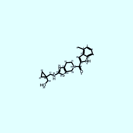 Cc1cccc2[nH]c(C(=O)N3CCc4nc(NCC5(CO)CC5)sc4C3)cc12